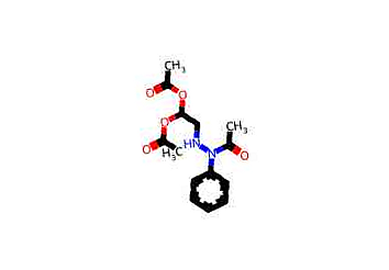 CC(=O)OC(CNN(C(C)=O)c1ccccc1)OC(C)=O